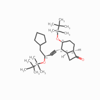 CC(C)(C)[Si](C)(C)O[C@H](C#C[C@H]1[C@@H]2CC(=O)[C@@H]2CC[C@@H]1O[Si](C)(C)C(C)(C)C)CC1CCCC1